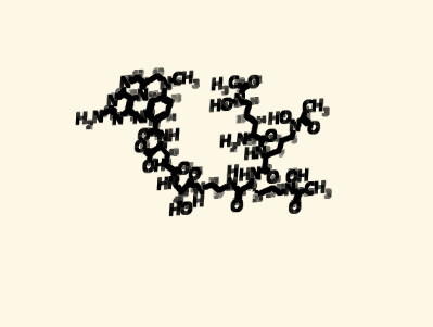 CC(=O)N(O)CCCC(NC(=O)[C@@H](N)CCCN(O)C(C)=O)C(=O)N[C@H](CCCN(O)C(C)=O)C(=O)NCCNC(=O)[C@H](CO)NC(=O)CC[C@H](NC(=O)c1ccc(N(C)Cc2cnc3nc(N)nc(N)c3n2)cc1)C(=O)O